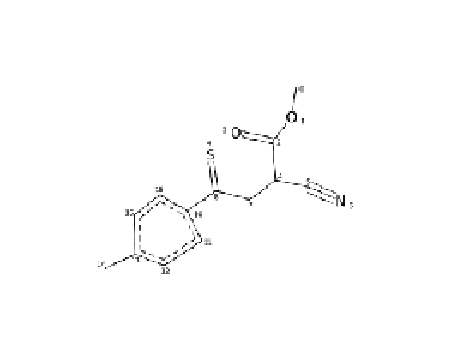 COC(=O)C(C#N)CC(=S)c1ccc(C)cc1